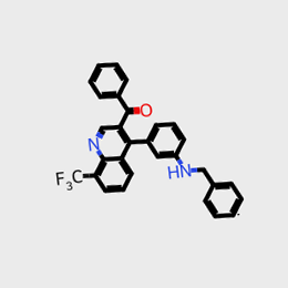 O=C(c1ccccc1)c1cnc2c(C(F)(F)F)cccc2c1-c1cccc(NCc2cc[c]cc2)c1